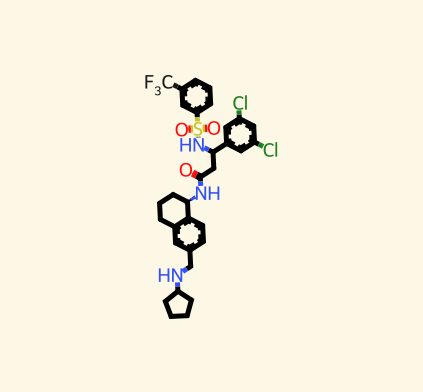 O=C(CC(NS(=O)(=O)c1cccc(C(F)(F)F)c1)c1cc(Cl)cc(Cl)c1)N[C@@H]1CCCc2cc(CNC3CCCC3)ccc21